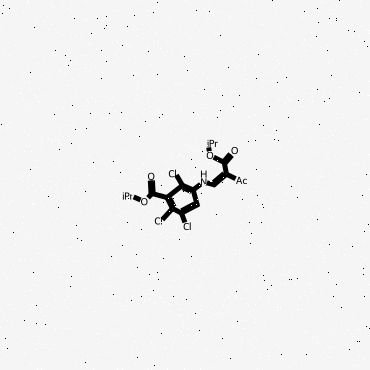 CC(=O)C(=CNc1cc(Cl)c(Cl)c(C(=O)OC(C)C)c1Cl)C(=O)OC(C)C